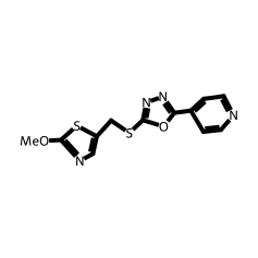 COc1ncc(CSc2nnc(-c3ccncc3)o2)s1